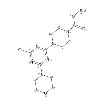 CC(C)(C)OC(=O)N1CCN(c2nc(Cl)nc(N3CCOCC3)n2)CC1